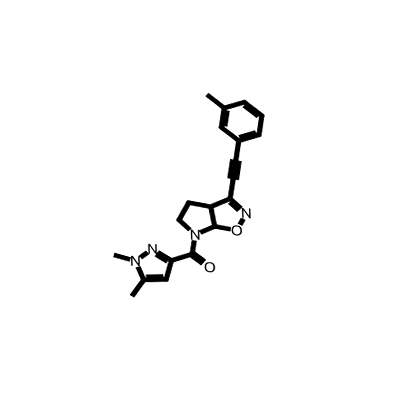 Cc1cccc(C#CC2=NOC3C2CCN3C(=O)c2cc(C)n(C)n2)c1